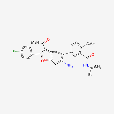 C=C(CC)NC(=O)c1cc(-c2cc3c(C(=O)NC)c(-c4ccc(F)cc4)oc3cc2N)ccc1OC